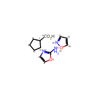 Nc1ncco1.O=C(O)C1CCCC1.c1cnoc1